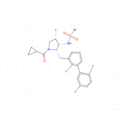 CCS(=O)(=O)N[C@H]1[C@@H](F)CN(C(=O)C2CC2)[C@H]1Cc1cccc(-c2cc(F)ccc2F)c1F